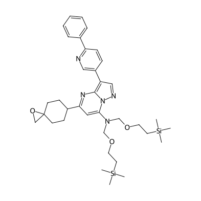 C[Si](C)(C)CCOCN(COCC[Si](C)(C)C)c1cc(C2CCC3(CC2)CO3)nc2c(-c3ccc(-c4ccccc4)nc3)cnn12